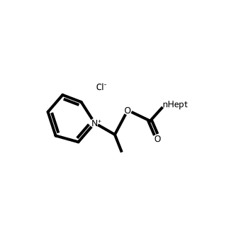 CCCCCCCC(=O)OC(C)[n+]1ccccc1.[Cl-]